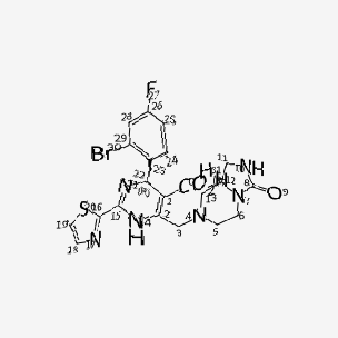 O=C(O)C1=C(CN2CCN3C(=O)NC[C@@H]3C2)NC(c2nccs2)=N[C@H]1c1ccc(F)cc1Br